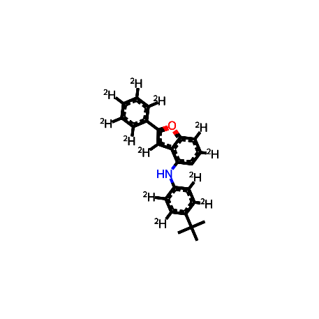 [2H]c1cc(Nc2c([2H])c([2H])c(C(C)(C)C)c([2H])c2[2H])c2c([2H])c(-c3c([2H])c([2H])c([2H])c([2H])c3[2H])oc2c1[2H]